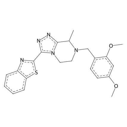 COc1ccc(CN2CCn3c(-c4nc5ccccc5s4)nnc3C2C)c(OC)c1